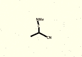 CNCC(C)C#N